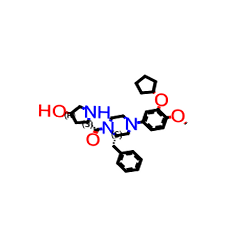 COc1ccc(N2CCN(C(=O)[C@@H]3C[C@@H](O)CN3)[C@@H](Cc3ccccc3)C2)cc1OC1CCCC1